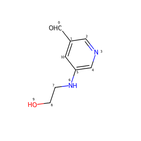 O=Cc1cncc(NCCO)c1